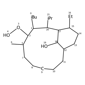 CCC(C)C1C(OO)C(C)CCCCCC2CCC(CC)C(C2O)C1C(C)C